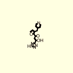 O=C(C=C(O)c1nn[nH]n1)c1occc1Cc1ccncc1